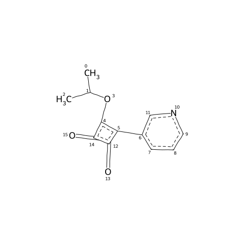 CC(C)Oc1c(-c2cccnc2)c(=O)c1=O